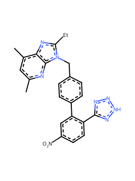 CCc1nc2c(C)cc(C)nc2n1Cc1ccc(-c2cc([N+](=O)[O-])ccc2-c2nn[nH]n2)cc1